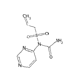 C=CCS(=O)(=O)N(C(N)=O)c1ccncn1